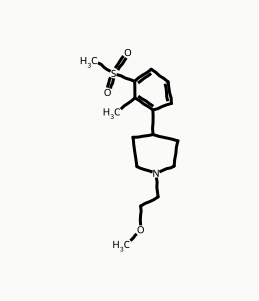 COCCN1CCC(c2cccc(S(C)(=O)=O)c2C)CC1